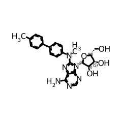 Cc1ccc(-c2ccc(N(C)c3nc4c(N)ncnc4n3[C@@H]3O[C@H](CO)[C@@H](O)[C@H]3O)cc2)cc1